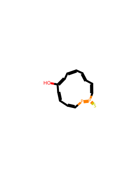 OC1=C\C=C/C=C/C=C\P(=S)=P\C=C/C=C\1